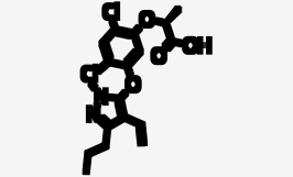 C=Cc1c(CCC)nn(C)c1Oc1cc(O[C@@H](C)C(=O)O)c(Cl)cc1Cl